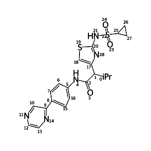 CC(C)C(C(=O)Nc1ccc(-c2cnccn2)cc1)c1csc(NS(=O)(=O)C2CC2)n1